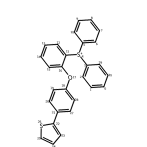 c1ccc([S+](c2ccccc2)c2ccccc2Oc2ccc(-c3cccs3)cc2)cc1